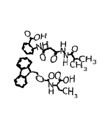 CC(C)C(=O)NNC(=O)CC(=O)Nc1ccccc1C(=O)O.CCC(NC(=O)OCC1c2ccccc2-c2ccccc21)C(=O)O